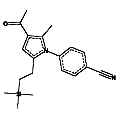 CC(=O)c1cc(CC[Si](C)(C)C)n(-c2ccc(C#N)cc2)c1C